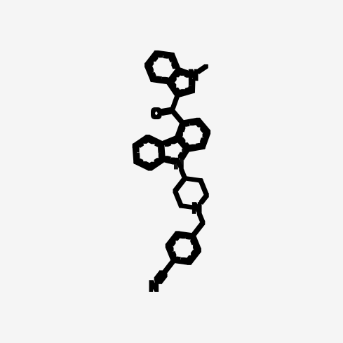 Cn1cc(C(=O)c2cccc3c2c2ccccc2n3C2CCN(Cc3ccc(C#N)cc3)CC2)c2ccccc21